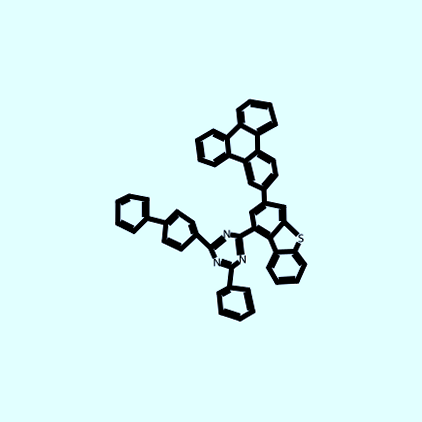 c1ccc(-c2ccc(-c3nc(-c4ccccc4)nc(-c4cc(-c5ccc6c7ccccc7c7ccccc7c6c5)cc5sc6ccccc6c45)n3)cc2)cc1